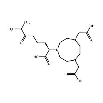 CC(C)C(=O)CCC[C@H](C(=O)O)N1CCN(CC(=O)O)CCN(CC(=O)O)CC1